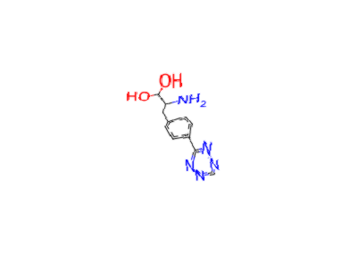 NC(Cc1ccc(-c2nncnn2)cc1)C(O)O